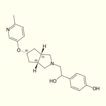 Cc1ccc(O[C@@H]2C[C@@H]3CN(CC(O)c4ccc(O)cc4)C[C@@H]3C2)cn1